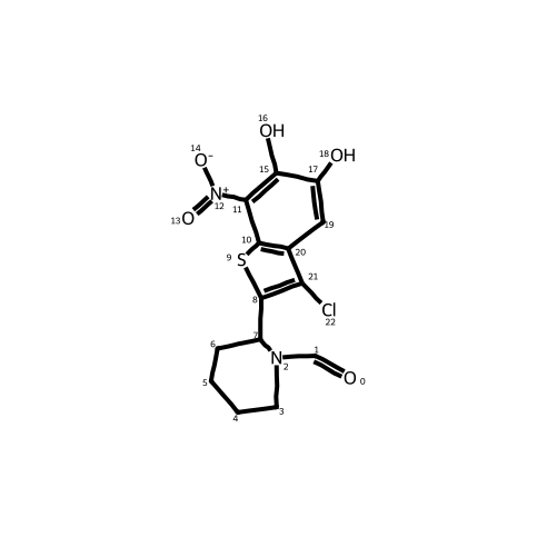 O=CN1CCCCC1c1sc2c([N+](=O)[O-])c(O)c(O)cc2c1Cl